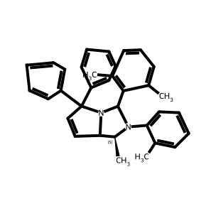 Cc1ccccc1N1C(c2c(C)cccc2C)N2C(C=CC2(c2ccccc2)c2ccccc2)[C@@H]1C